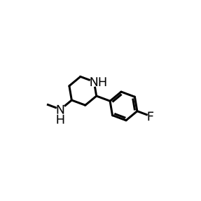 CNC1CCNC(c2ccc(F)cc2)C1